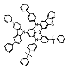 CC(C)(c1ccccc1)c1ccc(N2c3ccc(C(C)(C)c4ccccc4)cc3B3c4cc5sc6ccccc6c5cc4N(c4ccc(-c5ccccc5)cc4)c4cc(-n5c6ccc(-c7ccccc7)cc6c6cc(-c7ccccc7)ccc65)cc2c43)cc1